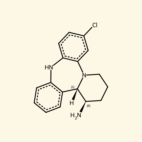 N[C@@H]1CCCN2c3cc(Cl)ccc3Nc3ccccc3[C@@H]12